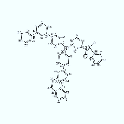 Cc1c(-c2cccc(N(c3ccc(-c4cccc(-c5ccccc5)c4)cc3)c3ccc(-c4ccc5c(ccc6ccccc65)c4)cc3)c2)oc2ccccc12